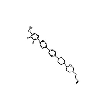 C=CCCC1CCC(C2CCC(c3ccc(-c4ccc(-c5ccc(OCC)c(F)c5F)cc4)cc3)CC2)OC1